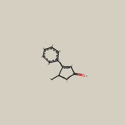 CC1CC(=O)C=C1c1ccccc1